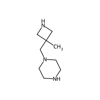 CC1(CN2CCNCC2)CNC1